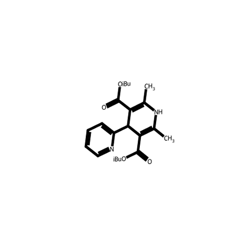 CC1=C(C(=O)OCC(C)C)C(c2ccccn2)C(C(=O)OCC(C)C)=C(C)N1